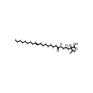 CCCCCCCC/C=C/CCCCCCCC(=O)NCCCC(N)(C(=O)O)C(F)F